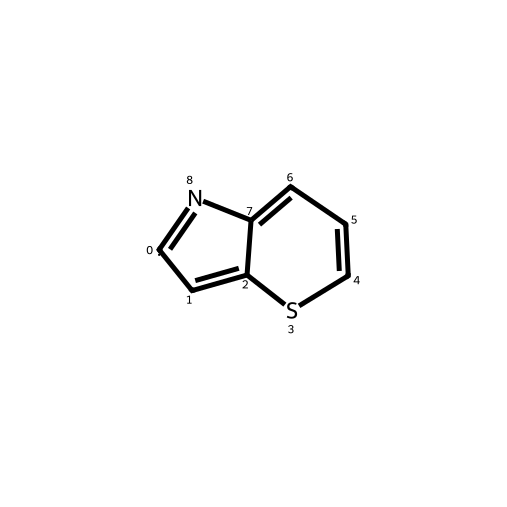 [c]1cc2scccc-2n1